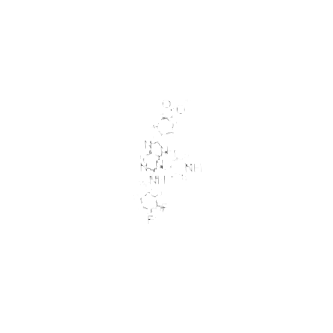 COC(=O)c1ccc(-c2nc3cnc(NCc4ccc(F)c(F)c4)nc3n2C[C@@H]2CCCNC2)cc1